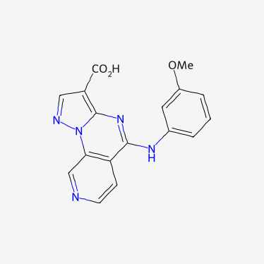 COc1cccc(Nc2nc3c(C(=O)O)cnn3c3cnccc23)c1